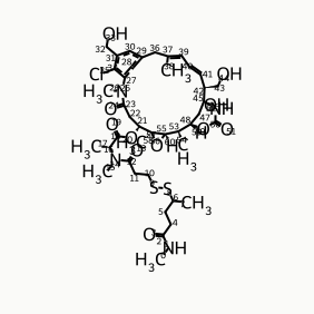 CNC(=O)CCC(C)SSCCC(=O)N(C)[C@@H](C)C(=O)O[C@H]1CC(=O)N(C)c2cc(cc(CO)c2Cl)C/C(C)=C/C=C/[C@@H](CO)[C@@]2(O)C[C@H](OC(=O)N2)[C@@H](C)[C@@H]2O[C@@]12C